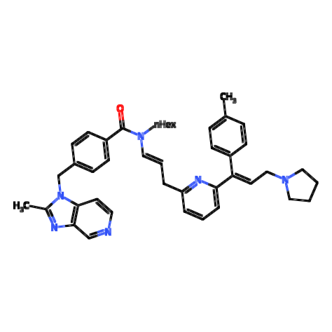 CCCCCCN(C=CCc1cccc(C(=CCN2CCCC2)c2ccc(C)cc2)n1)C(=O)c1ccc(Cn2c(C)nc3cnccc32)cc1